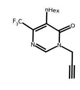 C#CCn1cnc(C(F)(F)F)c(CCCCCC)c1=O